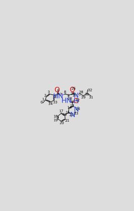 Cc1ccc(C(=O)NC[C@H](NC(=O)c2cc(-c3ccccc3)ncn2)C(=O)N[CH]CC(C)C)cc1